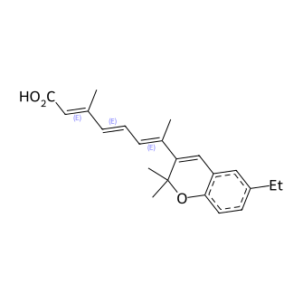 CCc1ccc2c(c1)C=C(/C(C)=C/C=C/C(C)=C/C(=O)O)C(C)(C)O2